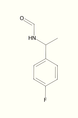 CC(NC=O)c1ccc(F)cc1